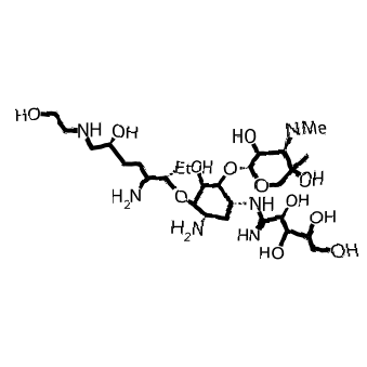 CC[C@H](OC1C(O)C(O[C@H]2OCC(C)(O)[C@H](NC)C2O)[C@H](NC(=N)C(O)C(O)C(O)CO)C[C@@H]1N)C(N)CC[C@H](O)CNCCO